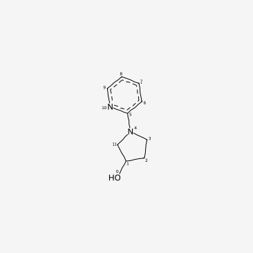 OC1CCN(c2c[c]ccn2)C1